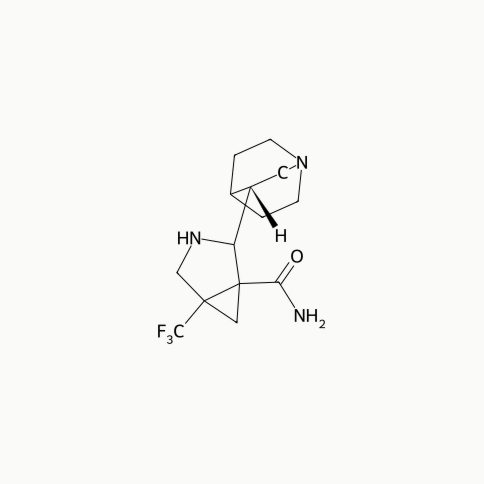 NC(=O)C12CC1(C(F)(F)F)CNC2[C@H]1CN2CCC1CC2